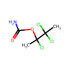 CC(Cl)(Cl)C(C)(Cl)OC(N)=O